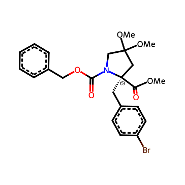 COC(=O)[C@]1(Cc2ccc(Br)cc2)CC(OC)(OC)CN1C(=O)OCc1ccccc1